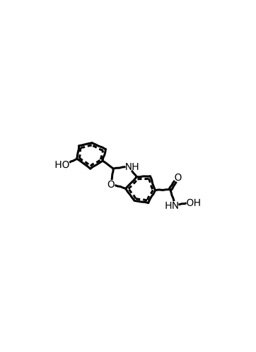 O=C(NO)c1ccc2c(c1)NC(c1cccc(O)c1)O2